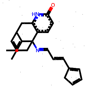 C/C=C1\C2C=C(C)CC1(/N=C/C=C/C1=CC=CC1)c1ccc(=O)[nH]c1C2